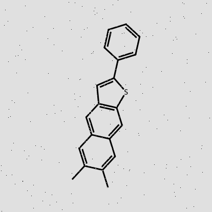 Cc1cc2cc3cc(-c4ccccc4)sc3cc2cc1C